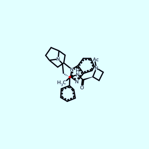 CC(=O)N1CC[C@H]1C(=O)N[C@@H](CCN1C2CCC1CC(n1c(C)nc3ccccc31)C2)c1ccccc1